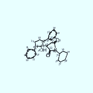 O=C1CC([PH]2(O)N(c3ccccc3)CCN2c2ccccc2)C(=O)N1C1CCCCC1